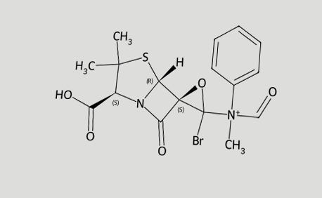 CC1(C)S[C@H]2N(C(=O)[C@]23OC3(Br)[N+](C)(C=O)c2ccccc2)[C@H]1C(=O)O